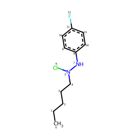 CCCCCN(Cl)Nc1ccc(F)cc1